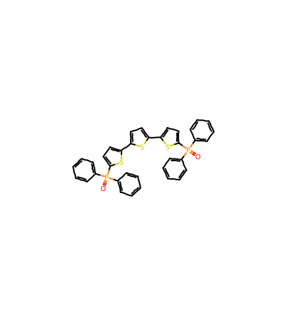 O=P(c1ccccc1)(c1ccccc1)c1ccc(-c2ccc(-c3ccc(P(=O)(c4ccccc4)c4ccccc4)s3)s2)s1